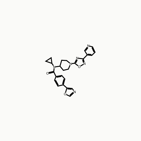 O=C(c1ccc(-c2cnco2)cc1)N(C1CC1)C1CCN(c2nc(-c3cccnc3)no2)CC1